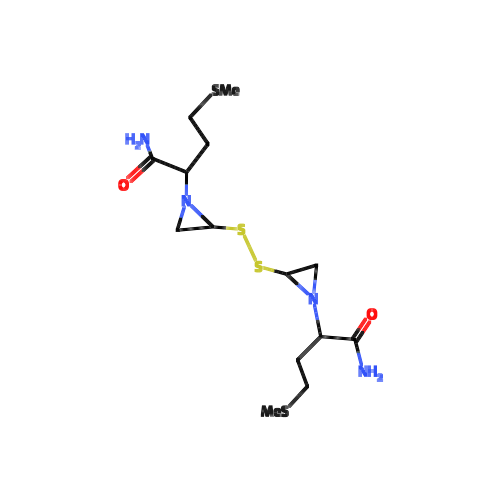 CSCCC(C(N)=O)N1CC1SSC1CN1C(CCSC)C(N)=O